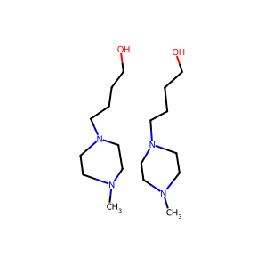 CN1CCN(CCCCO)CC1.CN1CCN(CCCCO)CC1